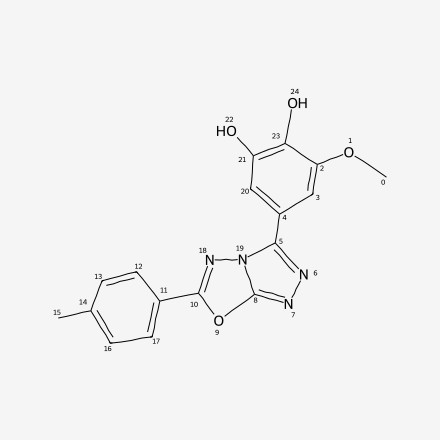 COc1cc(-c2nnc3oc(-c4ccc(C)cc4)nn23)cc(O)c1O